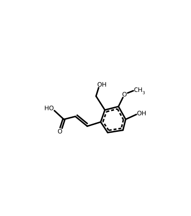 COc1c(O)ccc(/C=C/C(=O)O)c1CO